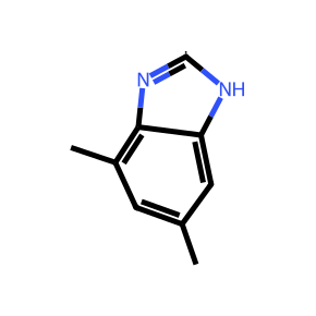 Cc1cc(C)c2n[c][nH]c2c1